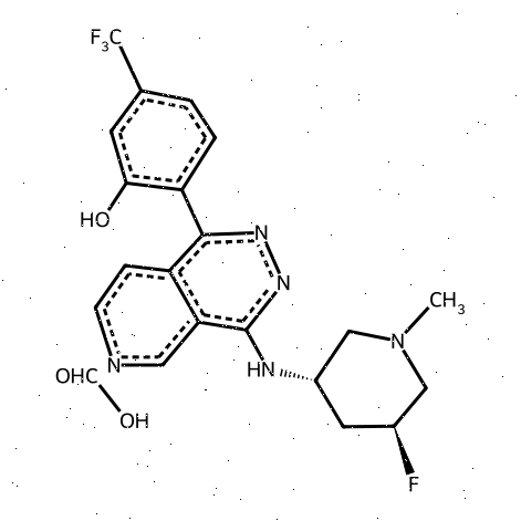 CN1C[C@@H](F)C[C@H](Nc2nnc(-c3ccc(C(F)(F)F)cc3O)c3ccncc23)C1.O=CO